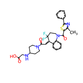 Cc1nc(-c2ccccc2)sc1C(=O)N1CCC(F)(F)/C(=C\C(=O)N2CCC(NCC(=O)O)CC2)c2ccccc21